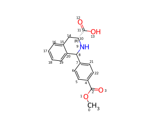 COC(=O)c1ccc(C2N[C@@H](C(=O)O)Cc3ccccc32)cc1